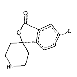 O=C1OC2(CCNCC2)c2ccc(Cl)cc21